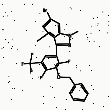 Cc1cc(Br)cc2c1c(-c1cc(C(F)(F)F)c(F)c(OCc3ccccc3)c1F)nn2C